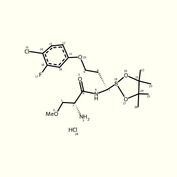 COC[C@@H](N)C(=O)N[C@H](CCOc1ccc(Cl)c(F)c1)B1OC(C)(C)C(C)(C)O1.Cl